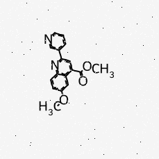 COC(=O)c1cc(-c2cccnc2)nc2ccc(OC)cc12